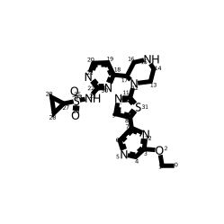 CCOc1cncc(-c2cnc(N3CCNCC3c3ccnc(NS(=O)(=O)C4CC4)n3)s2)n1